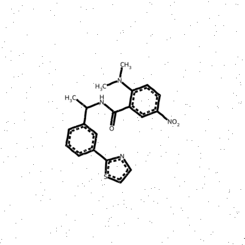 CC(NC(=O)c1cc([N+](=O)[O-])ccc1N(C)C)c1cccc(-c2nccs2)c1